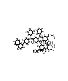 Cc1cc2c3c(c1)N1c4c(cc(C(C)(C)C)cc4C4(C)CCCCC14C)B3c1ccc(N(c3ccccc3)c3ccc(-c4cccc5ccccc45)cc3)cc1N2c1ccccc1